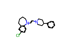 Clc1ccc2c(c1)CCCCN2C=CN1CCC(c2ccccc2)CC1